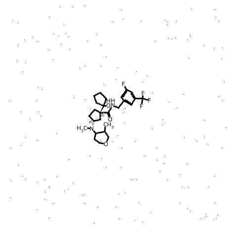 CC1COCCC1N(C)[C@@H]1CC[C@@](C(=O)NCc2cc(F)cc(C(F)(F)F)c2)(C2(O)CCCC2)C1